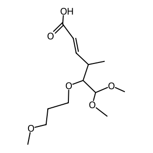 COCCCOC(C(C)C=CC(=O)O)C(OC)OC